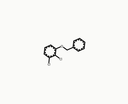 Clc1[c]ccc(OCc2ccccc2)c1Cl